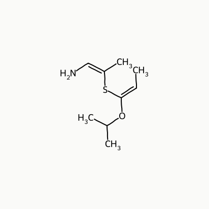 C/C=C(/OC(C)C)S/C(C)=C\N